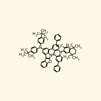 Cc1cc2c(cc1N1c3ccc(-c4ccccc4)cc3B3c4c(cc(-c5ccccc5)cc41)-c1cc(N(c4ccc(C(C)(C)C)cc4)c4ccc(C(C)(C)C)cc4)cc4c5c6ccccc6oc5n3c14)C(C)(C)CCC2(C)C